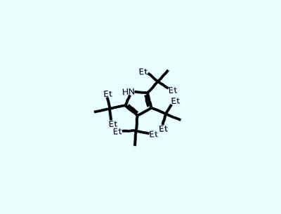 CCC(C)(CC)c1[nH]c(C(C)(CC)CC)c(C(C)(CC)CC)c1C(C)(CC)CC